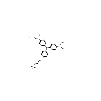 CCN(CC)c1ccc(C(c2ccc(OCCCS(=O)(=O)O)cc2)c2ccc(N(CC)CC)cc2)cc1.[Na]